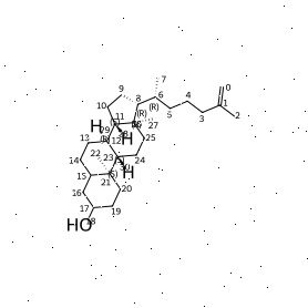 C=C(C)CCC[C@@H](C)[C@H]1CC[C@H]2[C@@H]3CCC4CC(O)CC[C@]4(C)[C@H]3CC[C@]12C